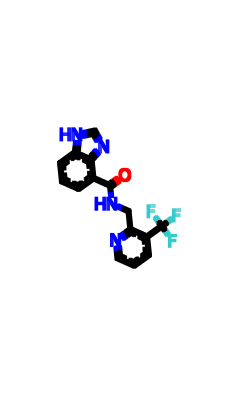 O=C(NCc1ncccc1C(F)(F)F)c1cccc2[nH]cnc12